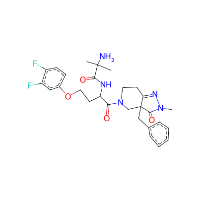 CN1N=C2CCN(C(=O)C(CCOc3ccc(F)c(F)c3)NC(=O)C(C)(C)N)CC2(Cc2ccccc2)C1=O